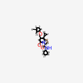 Cc1cccc(OCc2cc(=O)n3c(c2C2CC2)SC[C@H]3C(=O)Nc2ccccc2)c1C